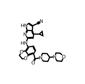 N#Cc1c[nH]c2nc(Nc3ccc(C(=O)N4CCC(N5CCOCC5)CC4)c4c3OCCO4)cc(C3CC3)c12